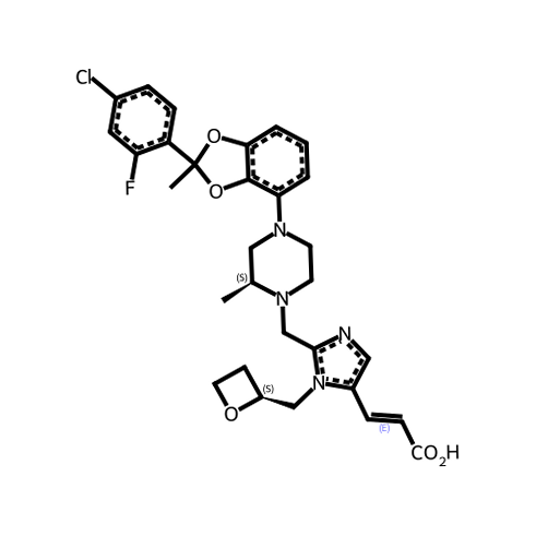 C[C@H]1CN(c2cccc3c2OC(C)(c2ccc(Cl)cc2F)O3)CCN1Cc1ncc(/C=C/C(=O)O)n1C[C@@H]1CCO1